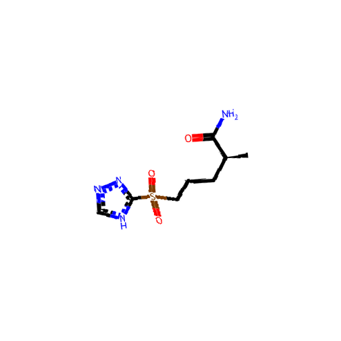 C[C@@H](C[CH]CS(=O)(=O)c1nnc[nH]1)C(N)=O